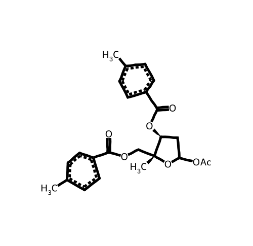 CC(=O)OC1C[C@H](OC(=O)c2ccc(C)cc2)[C@@](C)(COC(=O)c2ccc(C)cc2)O1